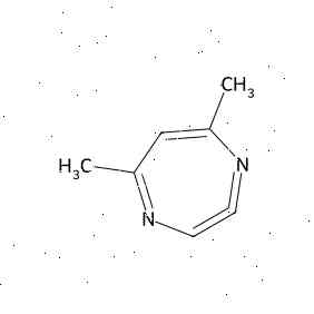 CC1=CC(C)=NC=C=N1